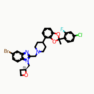 CC1(c2ccc(Cl)cc2F)Oc2cccc(C3CCN(Cc4nc5cc(Br)ccc5n4C[C@@H]4CCO4)CC3)c2O1